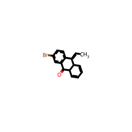 CC=C1c2ccc(Br)cc2C(=O)C2C=CC=CC12